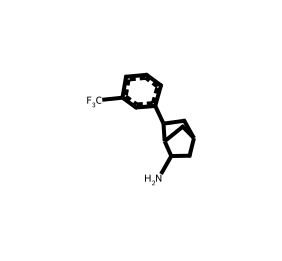 NC1CC2CC(c3cccc(C(F)(F)F)c3)C1C2